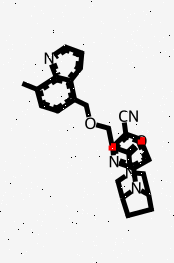 Cc1ccc(COCCC(=O)N2CC3CCC(C2)N3c2ccc(C#N)cn2)c2cccnc12